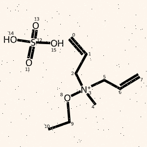 C=CC[N+](C)(CC=C)OCC.O=S(=O)(O)O